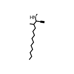 C#CC(NC)C(C)CCCCCCCCCC